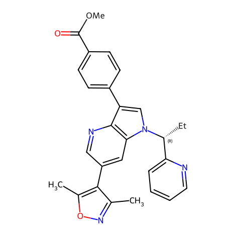 CC[C@H](c1ccccn1)n1cc(-c2ccc(C(=O)OC)cc2)c2ncc(-c3c(C)noc3C)cc21